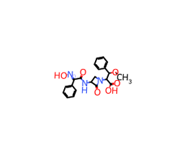 COC(c1ccccc1)C(C(=O)O)N1CC(NC(=O)/C(=N/O)c2ccccc2)C1=O